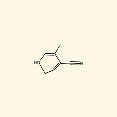 N#CC1=CCNC=C1I